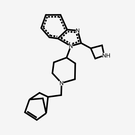 C1=CC2CC1CC2CN1CCC(n2c(C3CNC3)nc3ccccc32)CC1